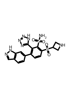 NS(=O)(=O)c1c(S(=O)(=O)C2CNC2)ccc(-c2ccc3cn[nH]c3c2)c1-c1nnn[nH]1